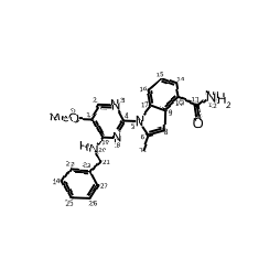 COc1cnc(-n2c(C)cc3c(C(N)=O)cccc32)nc1NCc1ccccc1